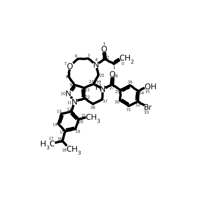 C=CC(=O)N1CCOCc2nn(-c3ccc(C(C)C)cc3C)c3c2[C@@H](C1)N(C(=O)c1ccc(Br)c(O)c1)CC3